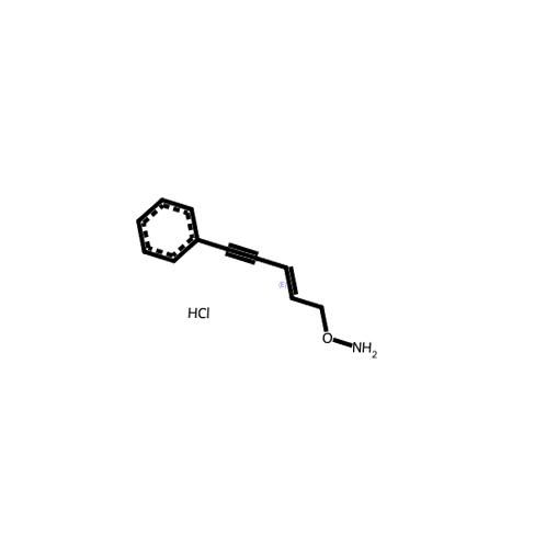 Cl.NOC/C=C/C#Cc1ccccc1